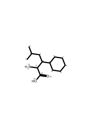 CC(C)CC(C1CCCCC1)C(N)C(=O)O